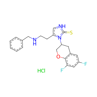 Cl.Fc1cc(F)c2c(c1)CC(n1c(CCNCc3ccccc3)c[nH]c1=S)CO2